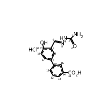 Cl.NC(=O)NN=Cc1cc(-c2cccc(C(=O)O)c2)ccc1O